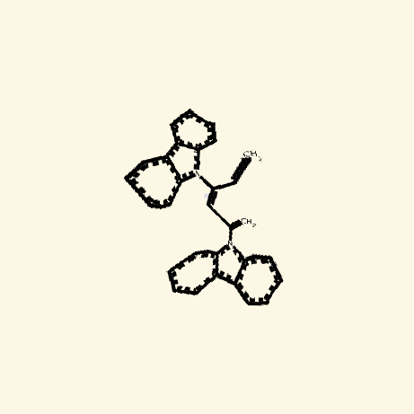 C=C/C(=C\C(=C)n1c2ccccc2c2ccccc21)n1c2ccccc2c2ccccc21